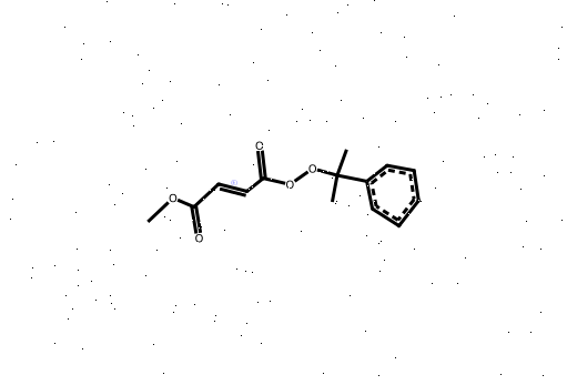 COC(=O)/C=C/C(=O)OOC(C)(C)c1ccccc1